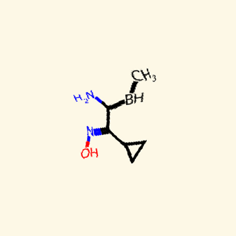 CBC(N)/C(=N/O)C1CC1